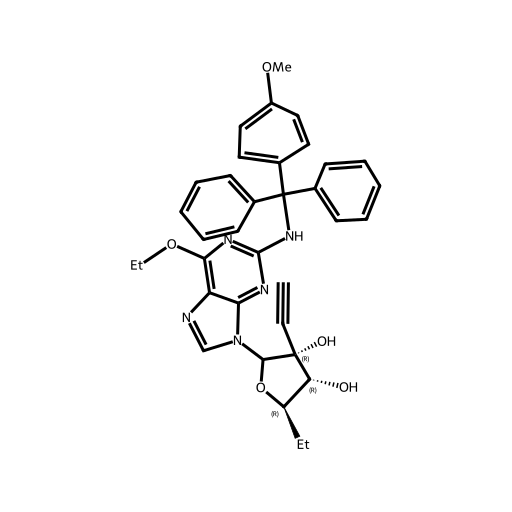 C#C[C@]1(O)C(n2cnc3c(OCC)nc(NC(c4ccccc4)(c4ccccc4)c4ccc(OC)cc4)nc32)O[C@H](CC)[C@H]1O